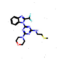 CSCCNc1nc(N2CCOCC2)nc(-n2c(C(F)F)nc3ccccc32)n1